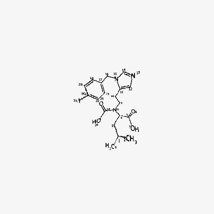 CC(C)CC(C(=O)O)N(CCc1cncn1Cc1ccc(I)cc1)C(=O)O